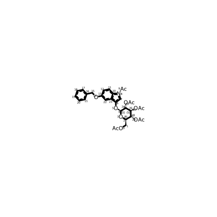 CC(=O)OC[C@H]1O[C@@H](Oc2cn(C(C)=O)c3ccc(OCc4ccccc4)cc23)[C@H](OC(C)=O)[C@@H](OC(C)=O)[C@@H]1OC(C)=O